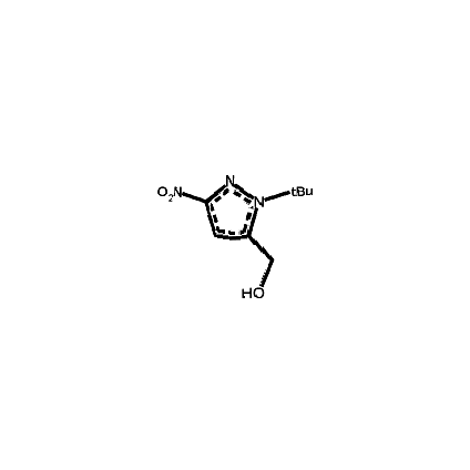 CC(C)(C)n1nc([N+](=O)[O-])cc1CO